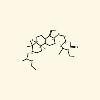 CCOC(C)O[C@@H](CC=O)[C@@H](C)[C@H]1CC=C2C3=C(CC[C@@]21C)[C@@]1(C)CC[C@H](OC(C)OCC)C(C)(C)[C@@H]1CC3